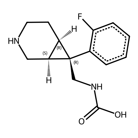 O=C(O)NC[C@]1(c2ccccc2F)[C@@H]2CCNC[C@@H]21